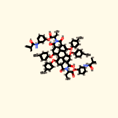 C=C(C)C(=O)Nc1cccc(OC(=O)C(CC(C)C)N2C(=O)c3cc(Oc4ccc(C(C)(C)C)cc4)c4c5c(Oc6ccc(C(C)(C)C)cc6)cc6c7c(cc(Oc8ccc(C(C)(C)C)cc8)c(c8c(Oc9ccc(C(C)(C)C)cc9)cc(c3c48)C2=O)c75)C(=O)N(C(CC(C)C)C(=O)Oc2cccc(NC(=O)C(=C)C)c2)C6=O)c1